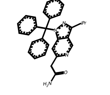 CC(C)c1nn(C(c2ccccc2)(c2ccccc2)c2ccccc2)c2cc(CC(N)=O)ncc12